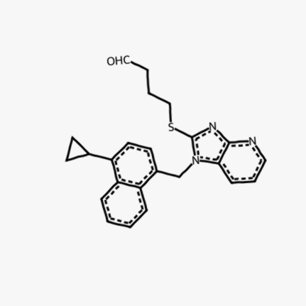 O=CCCCSc1nc2ncccc2n1Cc1ccc(C2CC2)c2ccccc12